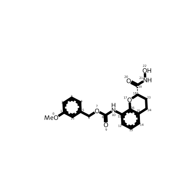 COc1cccc(COC(=O)Nc2cccc3c2O[C@H](C(=O)NO)CC3)c1